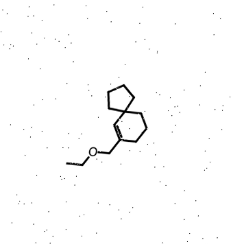 CCOCC1=CC2(CCCC2)CCC1